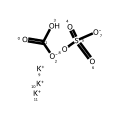 O=C([O-])O.O=S(=O)([O-])[O-].[K+].[K+].[K+]